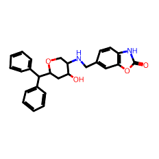 O=c1[nH]c2ccc(CNC3COC(C(c4ccccc4)c4ccccc4)CC3O)cc2o1